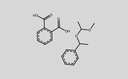 COC(C)OC(C)c1ccccc1.O=C(O)c1ccccc1C(=O)O